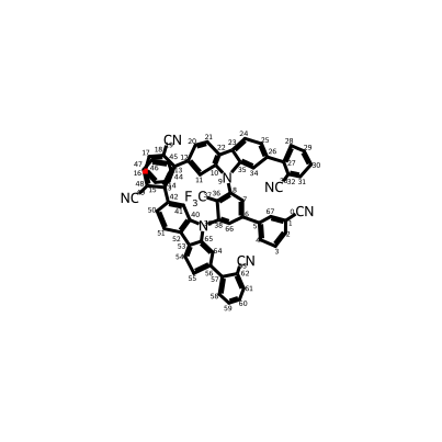 N#Cc1cccc(-c2cc(-n3c4cc(-c5ccccc5C#N)ccc4c4ccc(-c5ccccc5C#N)cc43)c(C(F)(F)F)c(-n3c4cc(-c5ccccc5C#N)ccc4c4ccc(-c5ccccc5C#N)cc43)c2)c1